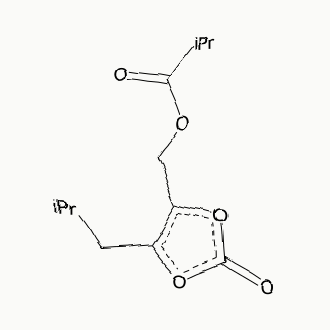 CC(C)Cc1oc(=O)oc1COC(=O)C(C)C